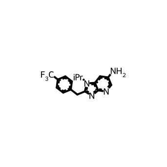 CC(C)n1c(Cc2ccc(C(F)(F)F)cc2)nc2ncc(N)cc21